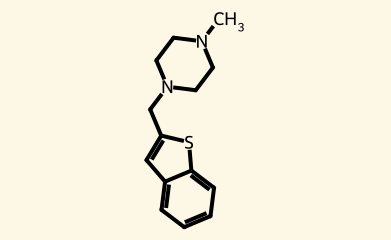 CN1CCN(Cc2cc3ccccc3s2)CC1